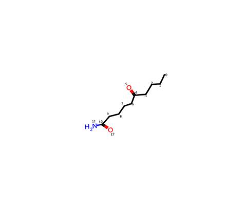 CCCCC(=O)CCCCC(N)=O